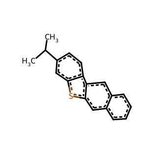 CC(C)c1ccc2c(c1)sc1cc3ccccc3cc12